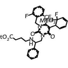 CCOC(=O)CCCNC(Cn1c(=O)c(C2C=CC=CC2(F)OC)c(C)n(Cc2c(F)cccc2C(F)(F)F)c1=O)c1ccccc1